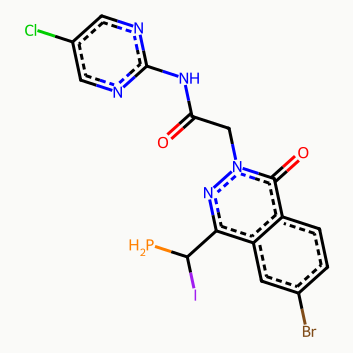 O=C(Cn1nc(C(P)I)c2cc(Br)ccc2c1=O)Nc1ncc(Cl)cn1